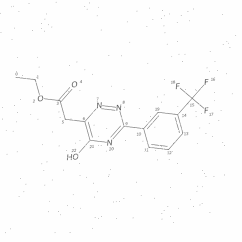 CCOC(=O)Cc1nnc(-c2cccc(C(F)(F)F)c2)nc1O